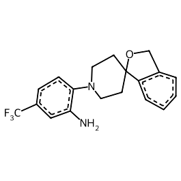 Nc1cc(C(F)(F)F)ccc1N1CCC2(CC1)OCc1ccccc12